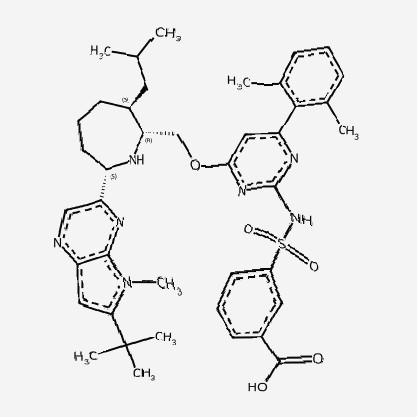 Cc1cccc(C)c1-c1cc(OC[C@@H]2N[C@H](c3cnc4cc(C(C)(C)C)n(C)c4n3)CCC[C@H]2CC(C)C)nc(NS(=O)(=O)c2cccc(C(=O)O)c2)n1